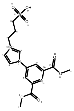 COC(=O)c1cc(-n2cc[n+](CCCS(=O)(=O)O)c2)cc(C(=O)OC)n1